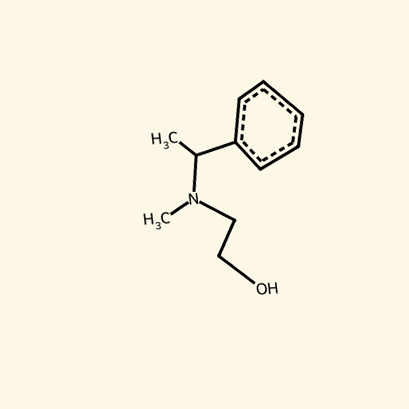 CC(c1ccccc1)N(C)CCO